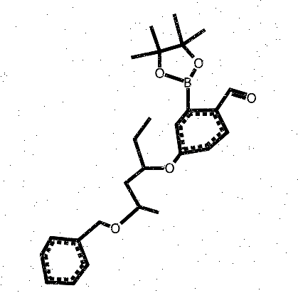 CCC(CC(C)OCc1ccccc1)Oc1ccc(C=O)c(B2OC(C)(C)C(C)(C)O2)c1